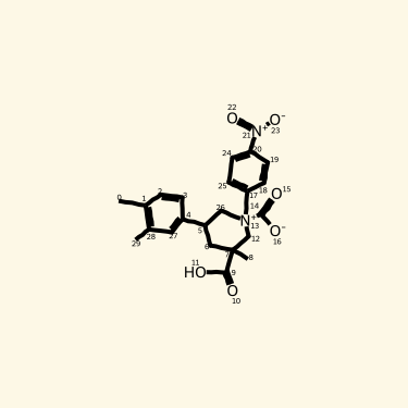 Cc1ccc(C2CC(C)(C(=O)O)C[N+](C(=O)[O-])(c3ccc([N+](=O)[O-])cc3)C2)cc1C